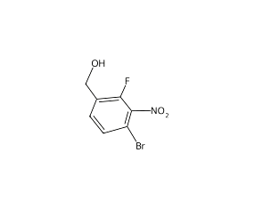 O=[N+]([O-])c1c(Br)ccc(CO)c1F